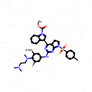 CC(=O)Nc1cc(Nc2nc(-c3cn(C(=O)OC(C)(C)C)c4ccccc34)c3ccn(S(=O)(=O)c4ccc(C)cc4)c3n2)cc(F)c1N(C)CCN(C)C